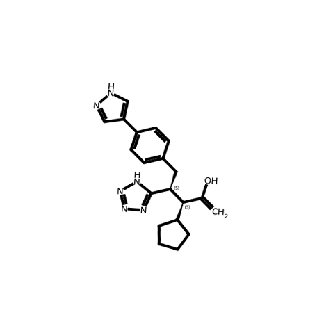 C=C(O)[C@@H](C1CCCC1)[C@H](Cc1ccc(-c2cn[nH]c2)cc1)c1nnn[nH]1